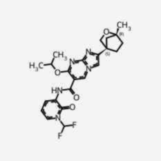 CC(C)Oc1nc2nc([C@]34CC[C@](C)(C3)OC4)cn2cc1C(=O)Nc1cccn(C(F)F)c1=O